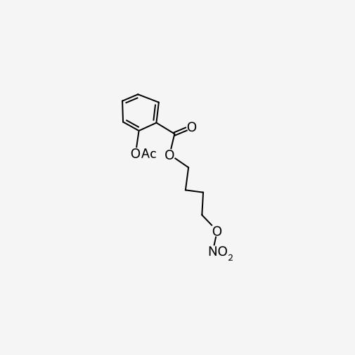 CC(=O)Oc1ccccc1C(=O)OCCCCO[N+](=O)[O-]